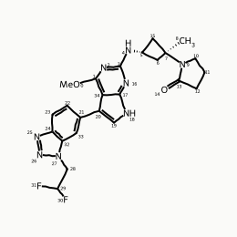 COc1nc(N[C@H]2C[C@](C)(N3CCCC3=O)C2)nc2[nH]cc(-c3ccc4nnn(CC(F)F)c4c3)c12